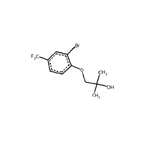 CC(C)(O)COc1ccc(C(F)(F)F)cc1Br